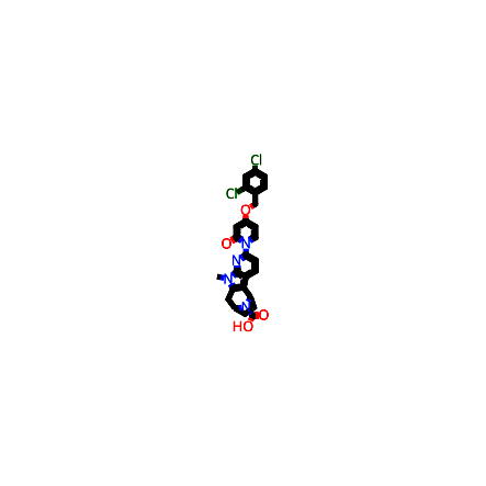 Cn1c2c(c3ccc(-n4ccc(OCc5ccc(Cl)cc5Cl)cc4=O)nc31)C1CCC(C2)N1C(=O)O